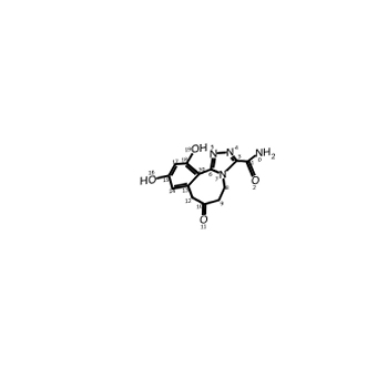 NC(=O)c1nnc2n1CCC(=O)Cc1cc(O)cc(O)c1-2